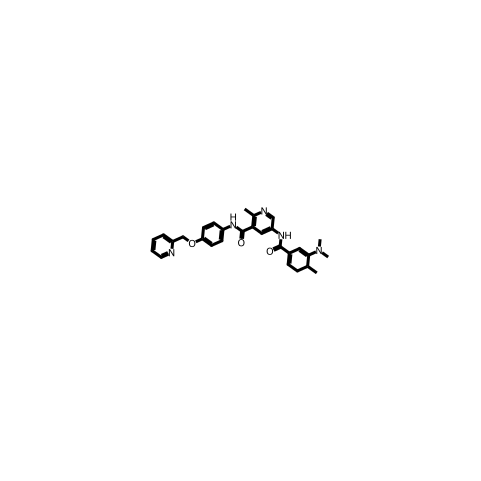 Cc1ncc(NC(=O)C2=CCC(C)C(N(C)C)=C2)cc1C(=O)Nc1ccc(OCc2ccccn2)cc1